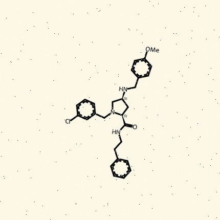 COc1ccc(CN[C@H]2C[C@@H](C(=O)NCCc3ccccc3)N(Cc3cccc(Cl)c3)C2)cc1